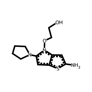 Nc1cc2c(cc(N3CCCC3)n2OCCO)s1